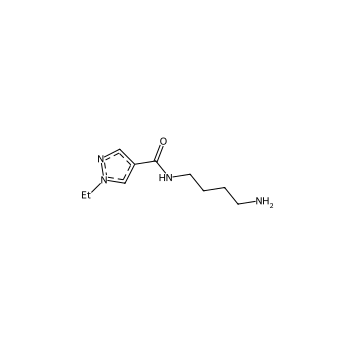 CCn1cc(C(=O)NCCCCN)cn1